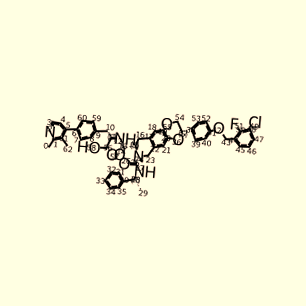 Cc1nccc(-c2ccc(C[C@H](NC(=O)[C@@H]3Cc4cc5c(cc4CN3C(=O)N[C@H](C)c3ccccc3)O[C@@H](c3ccc(OCc4cccc(Cl)c4F)cc3)CO5)C(=O)O)cc2)c1C